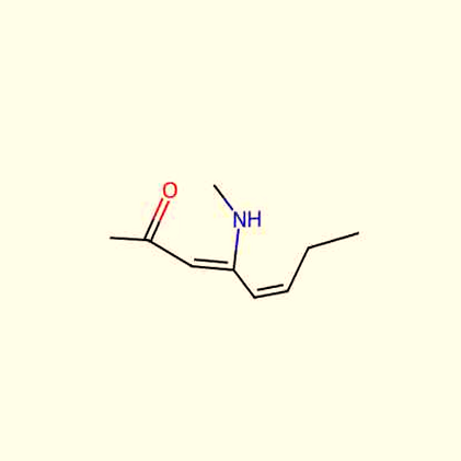 CC/C=C\C(=C\C(C)=O)NC